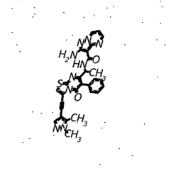 Cc1c(C#Cc2csc3nc(C(C)NC(=O)c4c(N)nn5cccnc45)c(-c4ccccc4)c(=O)n23)cnn1C